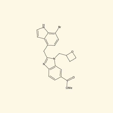 COC(=O)c1ccc2nc(Cc3ccc(Br)c4[nH]ccc34)n(CC3CCO3)c2c1